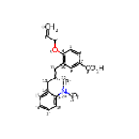 C=CCOc1ccc(C(=O)O)cc1CCCc1ccccc1N(C(C)C)C(C)C